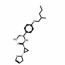 CCCC(C)COc1ccc([C@H](CO)NC(=O)[C@H]2C[C@@H]2C2CC=CS2)cc1